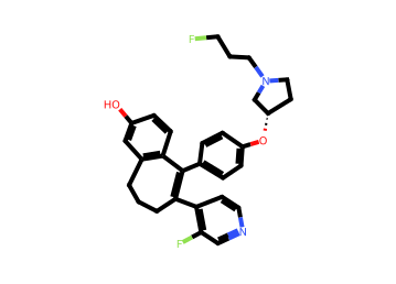 Oc1ccc2c(c1)CCCC(c1ccncc1F)=C2c1ccc(O[C@H]2CCN(CCCF)C2)cc1